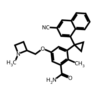 Cc1c(C(N)=O)cc(OCC2CCN2C)cc1C1(c2cc(C#N)cc3ccccc23)CC1